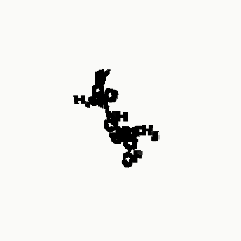 COc1ccc(Br)cc1C(=O)NCCNc1cccc(N[S+]([O-])c2cc(-c3ccccc3F)ccc2OC)c1